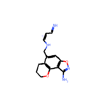 N=C/C=C\NCc1cc2onc(N)c2c2c1CCCO2